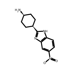 N[C@H]1CC[C@@H](c2nc3cc([N+](=O)[O-])ccc3[nH]2)CC1